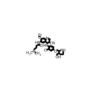 CCOc1cc2c(cc1NC(=O)CCCN(C)C)C(Nc1ccc(OCC3NCCCC3CO)cc1Cl)C(C#N)C=N2